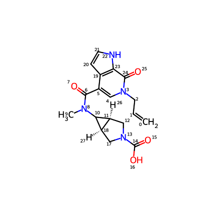 C=CCn1cc(C(=O)N(C)C2[C@H]3CN(C(=O)O)C[C@@H]23)c2cc[nH]c2c1=O